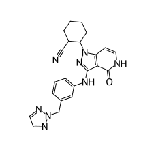 N#CC1CCCCC1n1nc(Nc2cccc(Cn3nccn3)c2)c2c(=O)[nH]ccc21